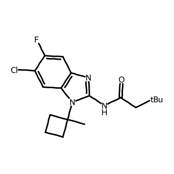 CC(C)(C)CC(=O)Nc1nc2cc(F)c(Cl)cc2n1C1(C)CCC1